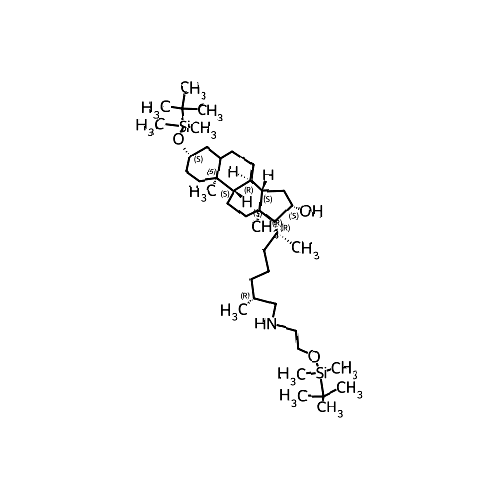 C[C@H](CCC[C@@H](C)[C@H]1[C@@H](O)C[C@H]2[C@@H]3CCC4C[C@@H](O[Si](C)(C)C(C)(C)C)CC[C@]4(C)[C@H]3CC[C@]12C)CNCCO[Si](C)(C)C(C)(C)C